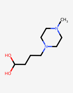 CN1CCN(CCCC(O)O)CC1